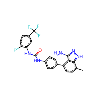 Cc1ccc(-c2ccc(NC(=O)Nc3cc(C(F)(F)F)ccc3F)cc2)c2c(N)n[nH]c12